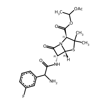 CC(=O)OC(C)OC(=O)[C@@H]1N2C(=O)[C@@H](NC(=O)C(N)c3cccc(F)c3)[C@H]2SC1(C)C